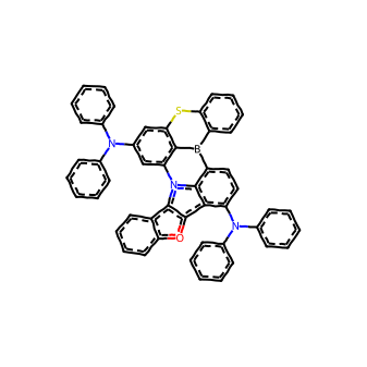 c1ccc(N(c2ccccc2)c2cc3c4c(c2)-n2c5c(ccc(N(c6ccccc6)c6ccccc6)c5c5oc6ccccc6c52)B4c2ccccc2S3)cc1